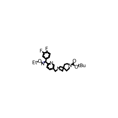 CCO/N=C(\c1ccc(F)c(F)c1)c1ccc(CN2CC3(CCN(C(=O)OC(C)(C)C)CC3)C2)cn1